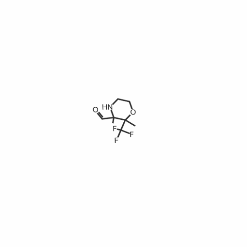 CC1(C=O)NCCOC1(C)C(F)(F)F